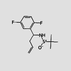 C=CCC(N[S+]([O-])C(C)(C)C)c1cc(F)ccc1F